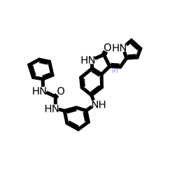 O=C(Nc1ccccc1)Nc1cccc(Nc2ccc3c(c2)/C(=C/c2ccc[nH]2)C(=O)N3)c1